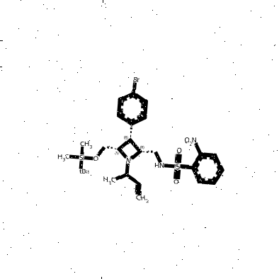 C=CC(C)N1[C@H](CO[Si](C)(C)C(C)(C)C)[C@H](c2ccc(Br)cc2)[C@@H]1CNS(=O)(=O)c1ccccc1[N+](=O)[O-]